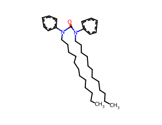 CCCCCCCCCCCCN(C(=O)N(CCCCCCCCCCCC)c1ccccc1)c1ccccc1